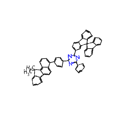 CC1(C)c2ccccc2-c2ccc3c(-c4ccc(-c5nc(-c6ccccc6)nc(-c6ccc7c(c6)C6(c8ccccc8-c8ccccc86)c6ccccc6-7)n5)cc4)cccc3c21